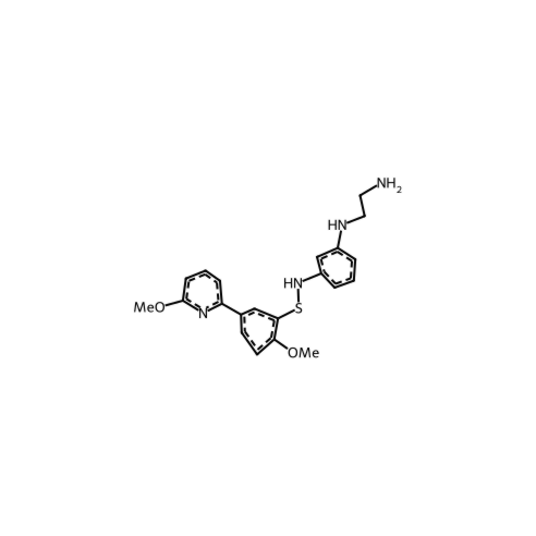 COc1cccc(-c2ccc(OC)c(SNc3cccc(NCCN)c3)c2)n1